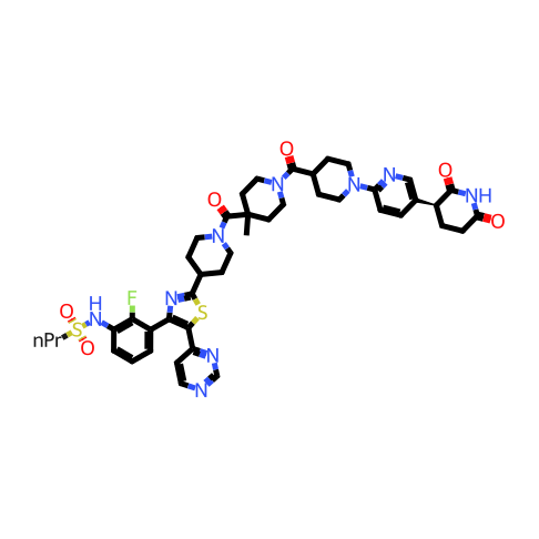 CCCS(=O)(=O)Nc1cccc(-c2nc(C3CCN(C(=O)C4(C)CCN(C(=O)C5CCN(c6ccc([C@@H]7CCC(=O)NC7=O)cn6)CC5)CC4)CC3)sc2-c2ccncn2)c1F